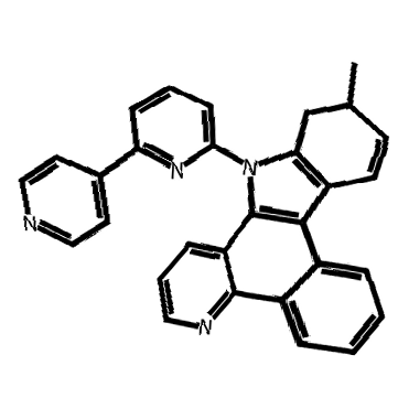 CC1C=Cc2c(n(-c3cccc(-c4ccncc4)n3)c3c4cccnc4c4ccccc4c23)C1